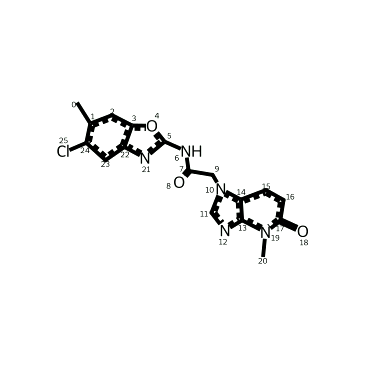 Cc1cc2oc(NC(=O)Cn3cnc4c3ccc(=O)n4C)nc2cc1Cl